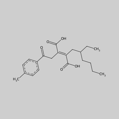 CCCCC(CC)CC(C(=O)O)=C(CC(=O)c1ccc(C)cc1)C(=O)O